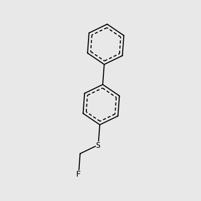 FCSc1ccc(-c2ccccc2)cc1